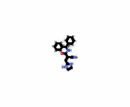 N#C/C(=C\c1ncc[nH]1)C(=O)NC(c1ccccc1)c1ccccc1